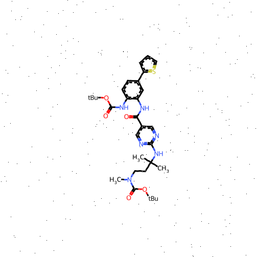 CN(CCC(C)(C)Nc1ncc(C(=O)Nc2cc(-c3cccs3)ccc2NC(=O)OC(C)(C)C)cn1)C(=O)OC(C)(C)C